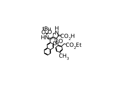 CCOC(=O)Cc1cc(C)ccc1S(=O)(=O)[C@@H]1[C@@H]([C@@H](NC(=O)OC(C)(C)C)c2ccc3ccccc3c2)CN[C@H]1C(=O)O